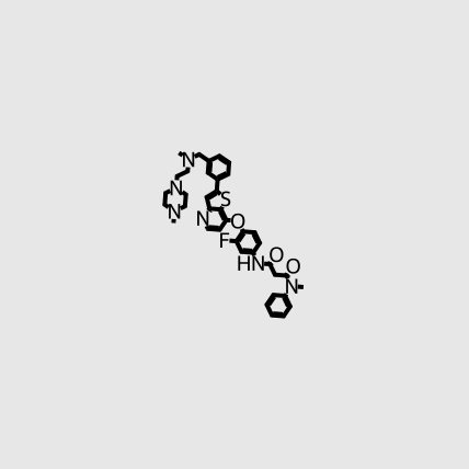 CN1CCN(CCN(C)Cc2cccc(-c3cc4nccc(Oc5ccc(NC(=O)CC(=O)N(C)c6ccccc6)cc5F)c4s3)c2)CC1